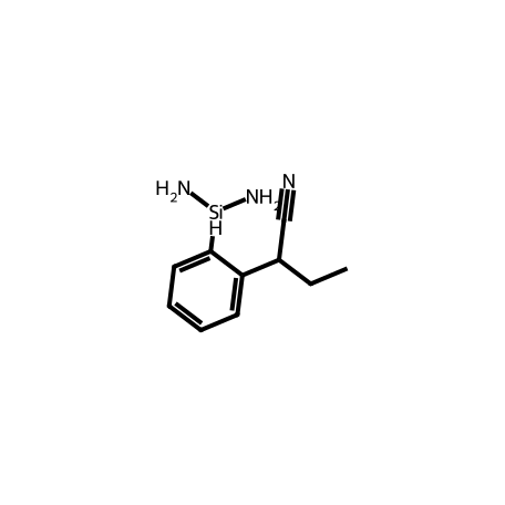 CCC(C#N)c1ccccc1[SiH](N)N